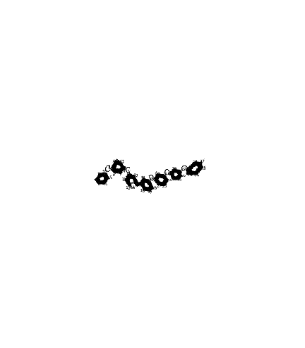 c1ccc(Oc2ccc(Oc3cccc(-c4cccc(Oc5cccc(Oc6cccc(Oc7ccccc7)c6)c5)c4)c3)cc2)cc1